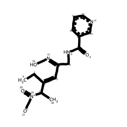 CCC(=CC(CNC(=O)c1cccnc1)=NO)C(C)[N+](=O)[O-]